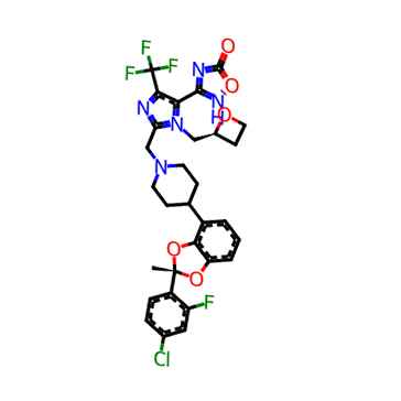 C[C@]1(c2ccc(Cl)cc2F)Oc2cccc(C3CCN(Cc4nc(C(F)(F)F)c(-c5nc(=O)o[nH]5)n4C[C@@H]4CCO4)CC3)c2O1